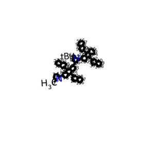 Cc1cccc(-c2ccc3c(-c4ccc5ccccc5c4)c4ccc(-c5cc(-c6ccc7c(-c8ccc9ccccc9c8)c8ccccc8c(-c8ccc9ccccc9c8)c7c6)nc(C(C)(C)C)c5)cc4c(-c4ccc5ccccc5c4)c3c2)n1